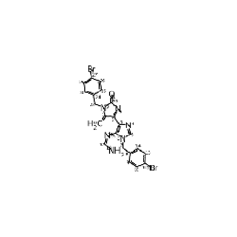 C=C1C(c2ncn(Cc3ccc(Br)cc3)c2/N=C\N)=NC(=O)N1Cc1ccc(Br)cc1